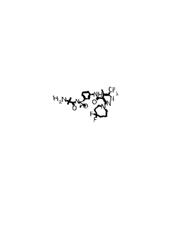 Cc1c(C(F)(F)F)nnc(N2CCCC(F)(F)CC2)c1C(=O)Nc1cccc(S(C)(=O)=NC(=O)C(C)(C)N)c1